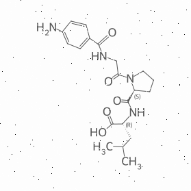 CC(C)C[C@@H](NC(=O)[C@@H]1CCCN1C(=O)CNC(=O)c1ccc(N)cc1)C(=O)O